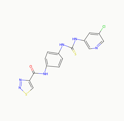 O=C(Nc1ccc(NC(=S)Nc2cncc(Cl)c2)cc1)c1csnn1